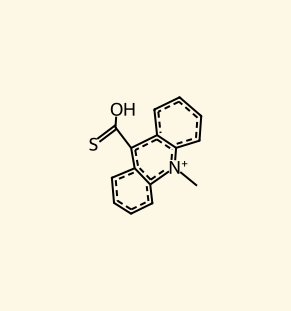 C[n+]1c2ccccc2c(C(O)=S)c2ccccc21